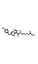 NC(=O)CCOCCNC(=O)c1cnn2cc(Cc3ccc(Br)cc3)cnc12